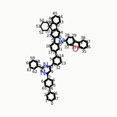 c1ccc(-c2ccc(-c3cc(-c4cccc(-c5ccc6c7cc8c(cc7n(-c7ccc9c(c7)oc7ccccc79)c6c5)-c5ccccc5C85CCCCC5)c4)nc(-c4ccccc4)n3)cc2)cc1